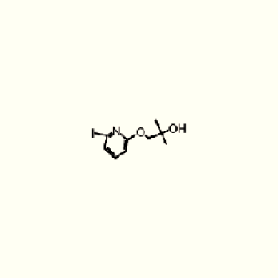 CC(C)(O)COc1cccc(I)n1